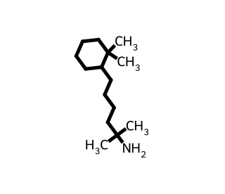 CC(C)(N)CCCCC1CCCCC1(C)C